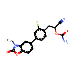 Cn1c(=O)oc2ccc(-c3ccc(CC(C#N)OC(N)=O)c(F)c3)cc21